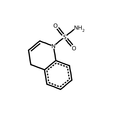 NS(=O)(=O)N1C=CCc2ccccc21